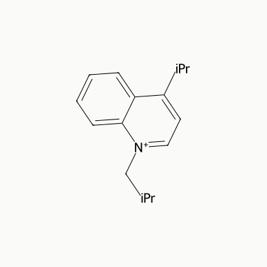 CC(C)C[n+]1ccc(C(C)C)c2ccccc21